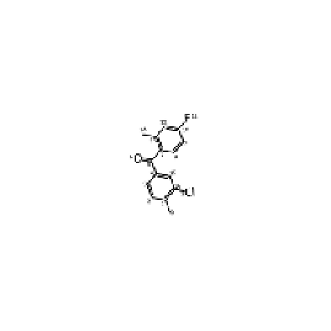 Cc1ccc(C(=O)c2ccc(F)cc2C)cc1Cl